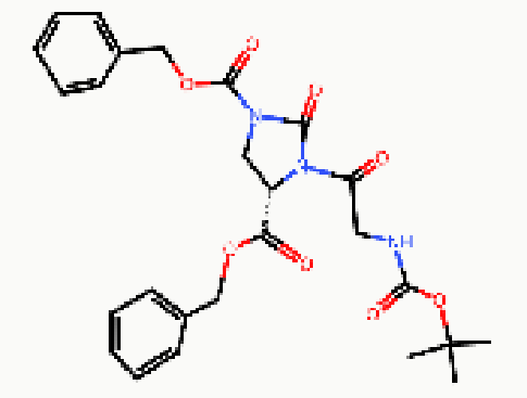 CC(C)(C)OC(=O)NCC(=O)N1C(=O)N(C(=O)OCc2ccccc2)C[C@H]1C(=O)OCc1ccccc1